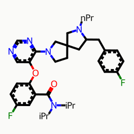 CCCN1CC2(CCN(c3ncncc3Oc3ccc(F)cc3C(=O)N(C(C)C)C(C)C)C2)CC1Cc1ccc(F)cc1